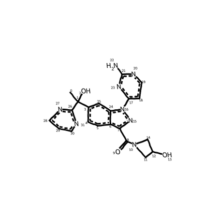 CC(O)(c1ccc2c(C(=O)N3CC(O)C3)nn(-c3ccnc(N)n3)c2c1)c1ncccn1